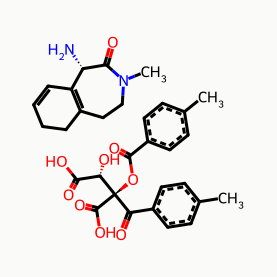 CN1CCC2=C(C=CCC2)[C@H](N)C1=O.Cc1ccc(C(=O)O[C@](C(=O)O)(C(=O)c2ccc(C)cc2)[C@@H](O)C(=O)O)cc1